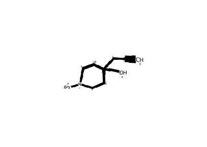 C#CCC1(O)CCN(C(C)C)CC1